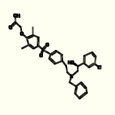 Cc1cc(S(=O)(=O)c2ccc(CCN(Cc3ccccc3)C[C@@H](O)c3cccc(Cl)c3)cc2)cc(C)c1OCC(=O)O